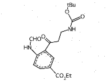 CCOC(=O)c1ccc(NC=O)c(C(=O)CCNC(=O)OC(C)(C)C)c1